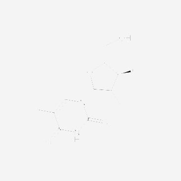 Cc1cn([C@@H]2O[C@H](CO)[C@@H](O)C2C)c(=S)[nH]c1=O